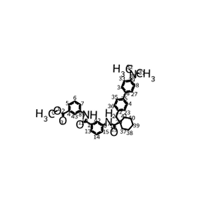 COC(=O)c1cccc(NC(=O)c2cccc(NC(=O)C3(Cc4ccc(-c5ccc(N(C)C)cc5)cc4)CCCCC3)c2)c1